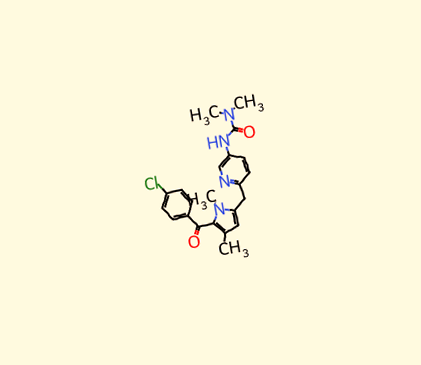 Cc1cc(Cc2ccc(NC(=O)N(C)C)cn2)n(C)c1C(=O)c1ccc(Cl)cc1